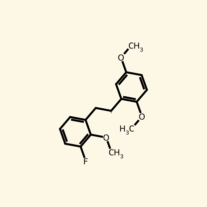 COc1ccc(OC)c([CH]Cc2cccc(F)c2OC)c1